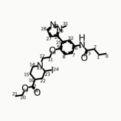 CCCC(=O)Nc1ccc(OCCN2CCC(C(=O)OCC)CC2I)c(-c2ccnn2C)c1